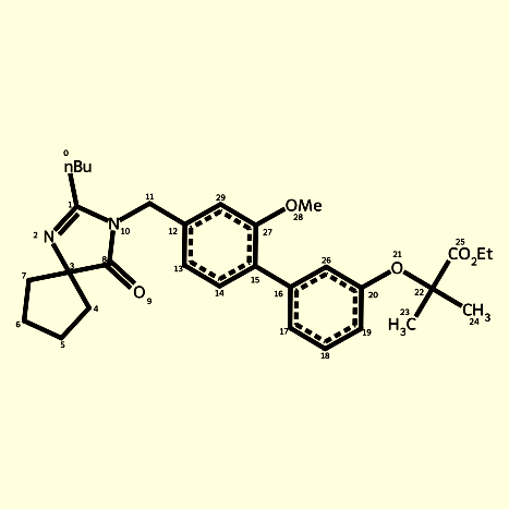 CCCCC1=NC2(CCCC2)C(=O)N1Cc1ccc(-c2cccc(OC(C)(C)C(=O)OCC)c2)c(OC)c1